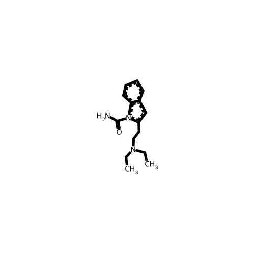 CCN(CC)CCc1cc2ccccc2n1C(N)=O